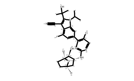 CC(C)n1c(C(C)(C)O)c(C#N)c2c(F)cc(-c3nc(N[C@@H]4C[C@H]5CC[C@H](O5)[C@H]4O)ncc3Cl)cc21